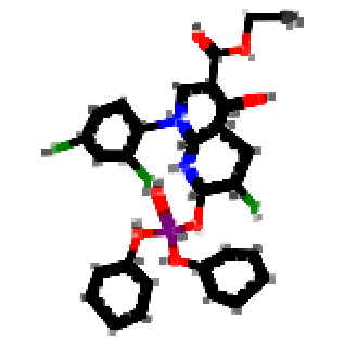 CCOC(=O)c1cn(-c2ccc(F)cc2F)c2nc(OP(=O)(Oc3ccccc3)Oc3ccccc3)c(F)cc2c1=O